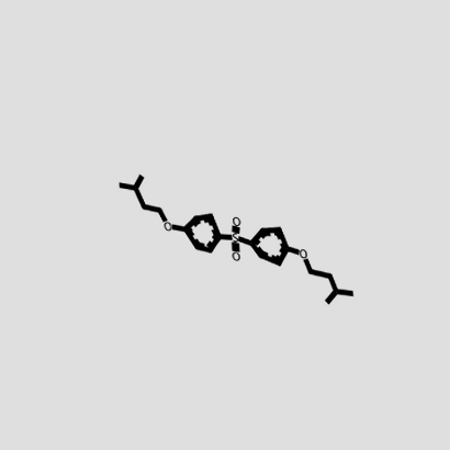 CC(C)CCOc1ccc(S(=O)(=O)c2ccc(OCCC(C)C)cc2)cc1